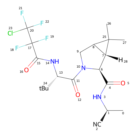 C[C@@H](C#N)NC(=O)[C@@H]1[C@@H]2C(CN1C(=O)[C@@H](NC(=O)C(F)(F)C(F)(F)Cl)C(C)(C)C)C2(C)C